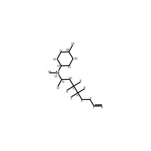 C=CCCC(C)(C)C(C)(C)CC(C)N(C)C1CCC(C)CC1